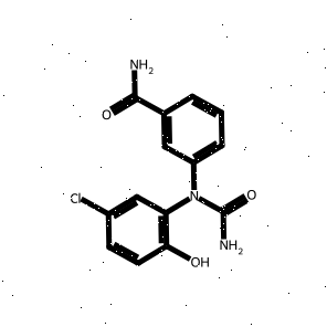 NC(=O)c1cccc(N(C(N)=O)c2cc(Cl)ccc2O)c1